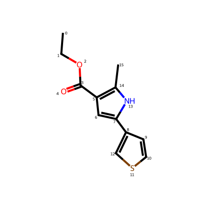 CCOC(=O)c1cc(-c2ccsc2)[nH]c1C